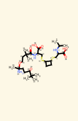 CC(C)NC(CSC1CCC1SCC(NC(=O)C(C)(C)CCOC(C)(N)CCC(=O)C(C)(C)C)C(=O)O)C(=O)O